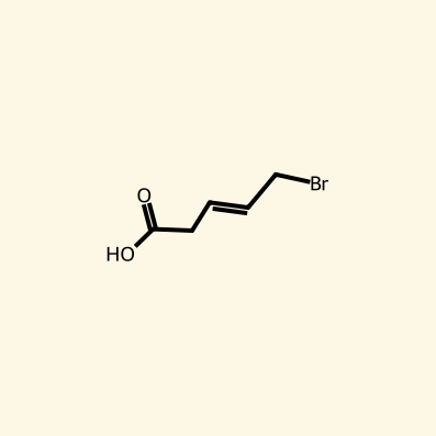 O=C(O)CC=CCBr